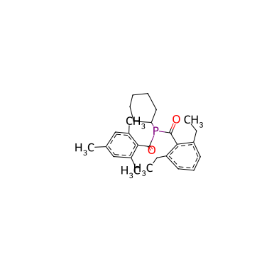 CCc1cccc(CC)c1C(=O)P(C(=O)c1c(C)cc(C)cc1C)C1CCCCC1